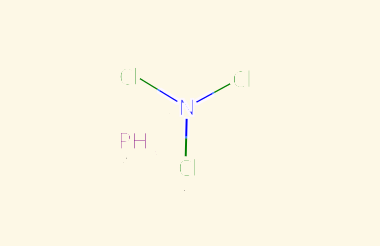 ClN(Cl)Cl.P